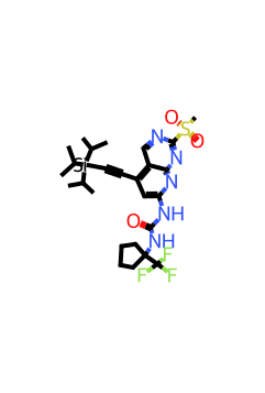 CC(C)[Si](C#Cc1cc(NC(=O)NC2(C(F)(F)F)CCCC2)nc2nc(S(C)(=O)=O)ncc12)(C(C)C)C(C)C